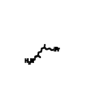 C/C(=C\CN)CCCC(C)CCCC(C)C